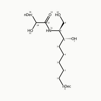 CCCCCCCCCCCCCCC[C@@H](O)[C@H](CO)NC(=O)C(O)CCCCCCCCCC